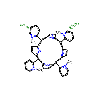 C[n+]1ccccc1-c1c2nc(c(-c3cccc[n+]3C)c3ccc([nH]3)c(-c3cccc[n+]3C)c3nc(c(-c4cccc[n+]4C)c4ccc1[nH]4)C=C3)C=C2.Cl.Cl.Cl.Cl.Cl